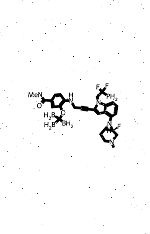 BC(B)(B)Oc1cc(C(=O)NC)ccc1NCC#Cc1cc2c(N3[C@@H]4CCN(C)C[C@]43F)cccc2n1CC(F)(F)P